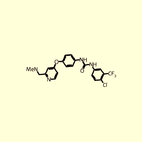 CNCc1cc(Oc2ccc(NC(=O)Nc3ccc(Cl)c(C(F)(F)F)c3)cc2)ccn1